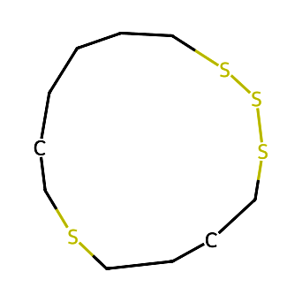 C1CCCSSSCCCCSCC1